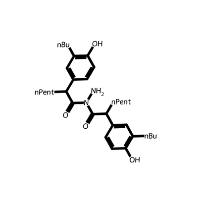 CCCCCC(C(=O)N(N)C(=O)C(CCCCC)c1ccc(O)c(CCCC)c1)c1ccc(O)c(CCCC)c1